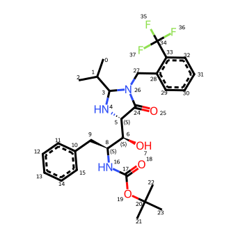 CC(C)C1N[C@@H]([C@@H](O)[C@H](Cc2ccccc2)NC(=O)OC(C)(C)C)C(=O)N1Cc1ccccc1C(F)(F)F